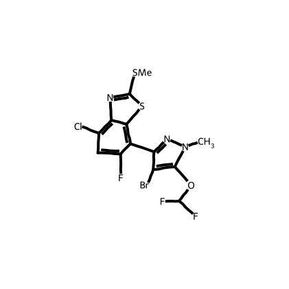 CSc1nc2c(Cl)cc(F)c(-c3nn(C)c(OC(F)F)c3Br)c2s1